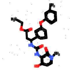 CCOC(=O)CC(NC(=O)Nc1c(O)ccn(C)c1=O)c1cccc(Oc2cccc(C)c2)c1